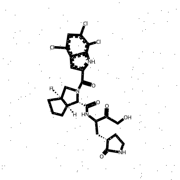 O=C(CO)C(C[C@@H]1CCNC1=O)NC(=O)[C@@H]1[C@H]2CCC[C@H]2CN1C(=O)c1cc2c(Cl)cc(Cl)c(Cl)c2[nH]1